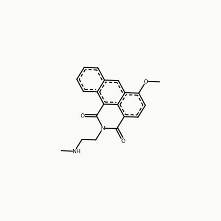 CNCCN1C(=O)c2ccc(OC)c3cc4ccccc4c(c23)C1=O